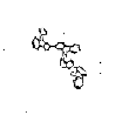 c1ccc(-n2c3ccccc3c3ccc(-c4ccc5c6ccccc6n(-c6cccc7cc(-c8cccc9c8oc8ccccc89)ccc67)c5c4)cc32)cc1